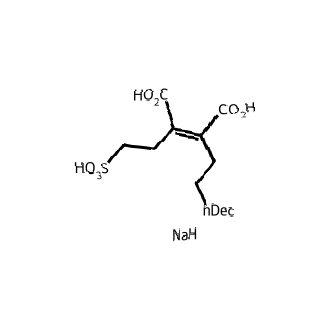 CCCCCCCCCCCC/C(C(=O)O)=C(\CCS(=O)(=O)O)C(=O)O.[NaH]